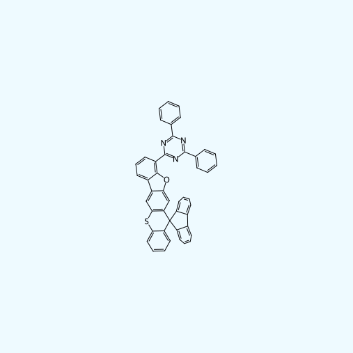 c1ccc(-c2nc(-c3ccccc3)nc(-c3cccc4c3oc3cc5c(cc34)Sc3ccccc3C53c4ccccc4-c4ccccc43)n2)cc1